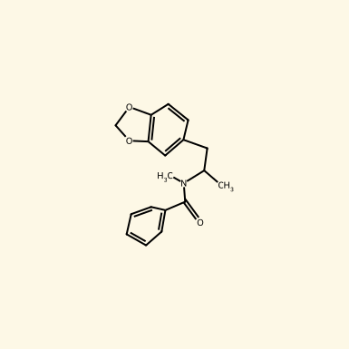 CC(Cc1ccc2c(c1)OCO2)N(C)C(=O)c1ccccc1